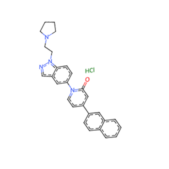 Cl.O=c1cc(-c2ccc3ccccc3c2)ccn1-c1ccc2c(cnn2CCN2CCCC2)c1